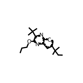 CCCOc1nc2cc(C(C)(C)CC)ccc2nc1C(C)(C)C